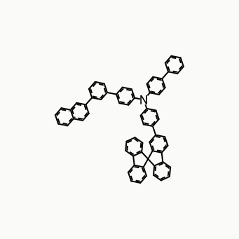 c1ccc(-c2ccc(N(c3ccc(-c4cccc(-c5ccc6ccccc6c5)c4)cc3)c3ccc(-c4ccc5c(c4)C4(c6ccccc6-c6ccccc64)c4ccccc4-5)cc3)cc2)cc1